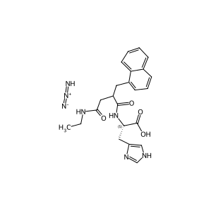 CCNC(=O)CC(Cc1cccc2ccccc12)C(=O)N[C@@H](Cc1c[nH]cn1)C(=O)O.[N-]=[N+]=N